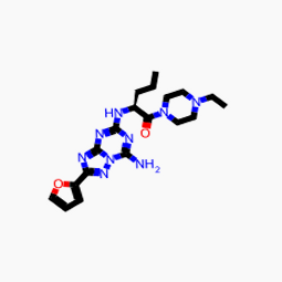 CCC[C@H](Nc1nc(N)n2nc(-c3ccco3)nc2n1)C(=O)N1CCN(CC)CC1